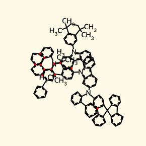 CC1(C)CCC(C)(C)c2cc(-n3c4ccccc4c4ccc(N(c5ccc(-c6ccccc6)cc5-c5ccccc5)c5ccccc5-c5ccccc5C5CC(C)(C)c6cc(-n7c8ccccc8c8ccc(N(c9ccc%10c(c9)-c9ccccc9C%109c%10ccccc%10-c%10ccccc%109)c9ccccc9-c9ccccc9)cc87)ccc6C5(C)C)cc43)ccc21